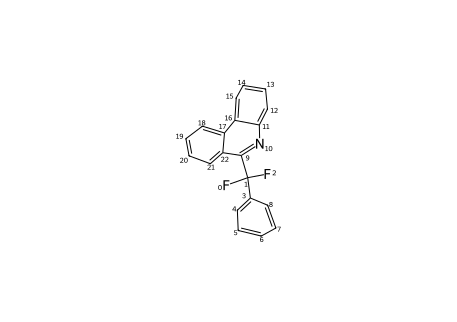 FC(F)(c1ccccc1)c1nc2ccccc2c2ccccc12